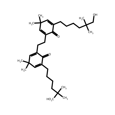 CC1(C)C=C(CCCCC(C)(C)CO)C(=O)C(CCC2=CC(C)(C)C=C(CCCCC(C)(C)C(=O)O)C2=O)=C1